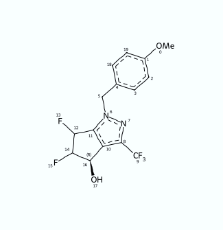 COc1ccc(Cn2nc(C(F)(F)F)c3c2C(F)C(F)[C@@H]3O)cc1